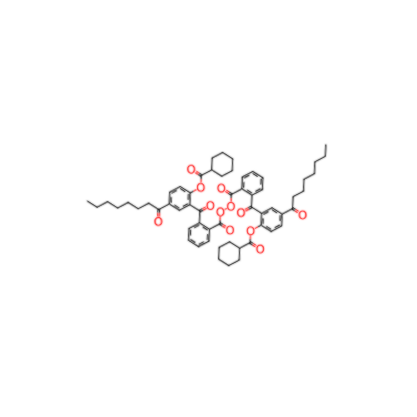 CCCCCCCC(=O)c1ccc(OC(=O)C2CCCCC2)c(C(=O)c2ccccc2C(=O)OOC(=O)c2ccccc2C(=O)c2cc(C(=O)CCCCCCC)ccc2OC(=O)C2CCCCC2)c1